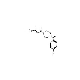 Nc1cc(C2CCN(C(=O)c3ccc(F)cc3)CC2)no1